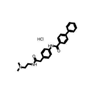 CN(C)CCNC(=O)Cc1ccc(NC(=O)c2ccc(-c3ccccc3)cc2)cc1.Cl